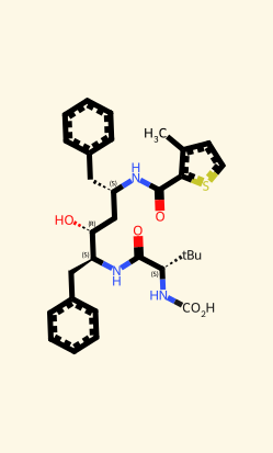 Cc1ccsc1C(=O)N[C@@H](Cc1ccccc1)C[C@@H](O)[C@H](Cc1ccccc1)NC(=O)[C@@H](NC(=O)O)C(C)(C)C